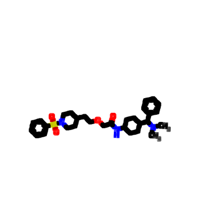 CN(C)C(c1ccccc1)C1CCC(NC(=O)COCCC2CCN(S(=O)(=O)c3ccccc3)CC2)CC1